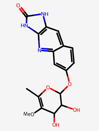 COC1=C(C)OC(Oc2ccc3cc4[nH]c(=O)[nH]c4nc3c2)C(O)C1O